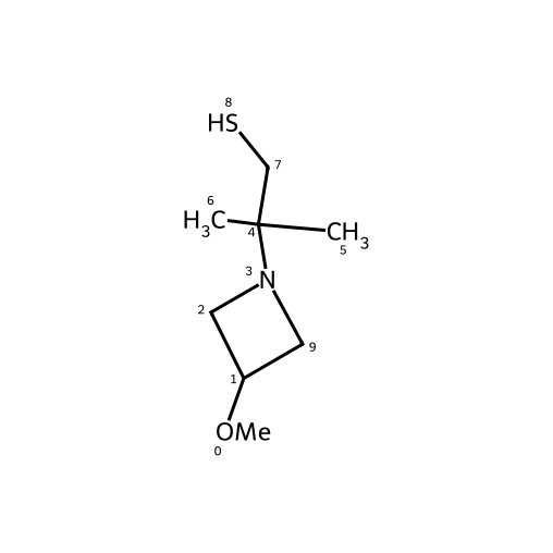 COC1CN(C(C)(C)CS)C1